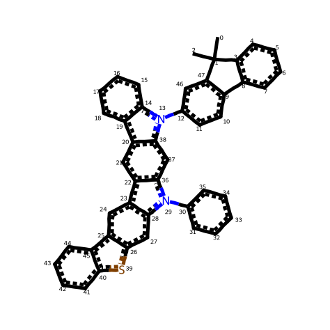 CC1(C)c2ccccc2-c2ccc(-n3c4ccccc4c4cc5c6cc7c(cc6n(-c6ccccc6)c5cc43)sc3ccccc37)cc21